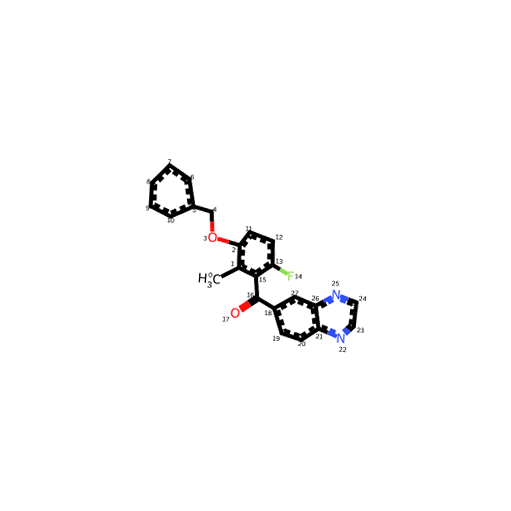 Cc1c(OCc2ccccc2)ccc(F)c1C(=O)c1ccc2nccnc2c1